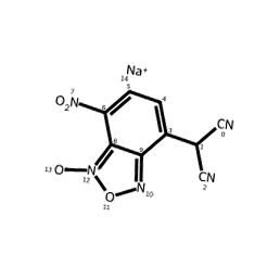 N#CC(C#N)c1ccc([N+](=O)[O-])c2c1no[n+]2[O-].[Na+]